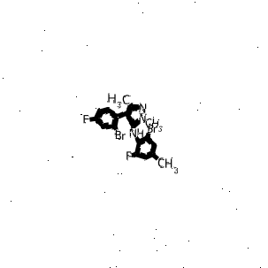 Cc1cc(F)c(Nc2c(-c3ccc(F)cc3Br)c(C)nn2C)c(Br)c1